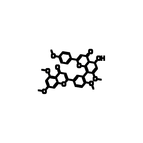 COC1=C[C@H](O)C2C(=O)C=C(c3ccc(OC)cc3)OC2=C1c1cc(-c2cc(=O)c3c(OC)cc(OC)cc3o2)ccc1OC